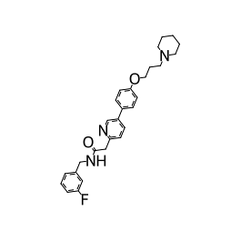 O=C(Cc1ccc(-c2ccc(OCCCN3CCCCC3)cc2)cn1)NCc1cccc(F)c1